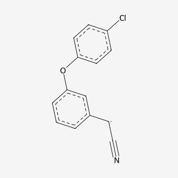 N#C[CH]c1cccc(Oc2ccc(Cl)cc2)c1